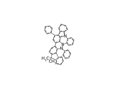 CC1(C)c2ccccc2-c2c1ccc1c2N(c2ccccc2)B2c3ccccc3-n3c4ccccc4c4c(-c5ccccc5)cc-1c2c43